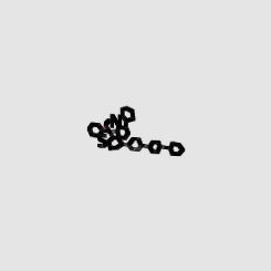 C1=C(c2ccc(-c3ccccc3)cc2)CCC(c2ccc3c(c2)C2(c4ccccc4S3)c3ccccc3-n3c4ccccc4c4cccc2c43)=C1